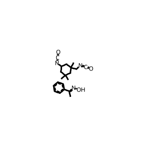 CC(=NO)c1ccccc1.CC1(C)CC(N=C=O)CC(C)(CN=C=O)C1